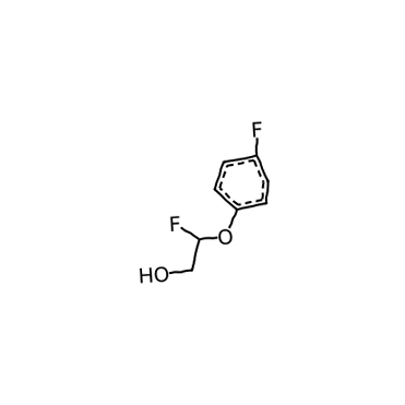 OCC(F)Oc1ccc(F)cc1